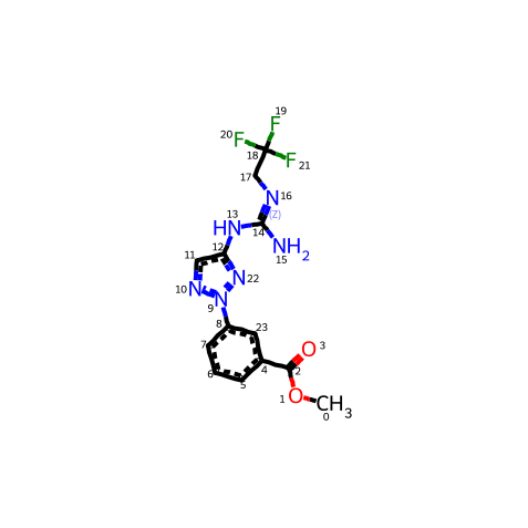 COC(=O)c1cccc(-n2ncc(N/C(N)=N\CC(F)(F)F)n2)c1